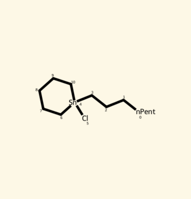 CCCCCCC[CH2][Sn]1([Cl])[CH2]CCC[CH2]1